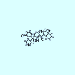 CCOc1nc2ccc(C(O)(c3cccnc3)c3cccc(Cl)c3)cc2c(Cl)c1-c1ccccc1